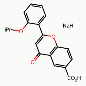 CC(C)Oc1ccccc1-c1cc(=O)c2cc(C(=O)O)ccc2o1.[NaH]